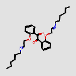 CCCCCCN=CCOc1ccccc1C(=O)C(=O)c1ccccc1OCC=NCCCCCC